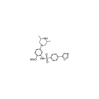 COc1ccc(N2CC(C)NC(C)C2)cc1NS(=O)(=O)c1ccc(-c2cnco2)cc1